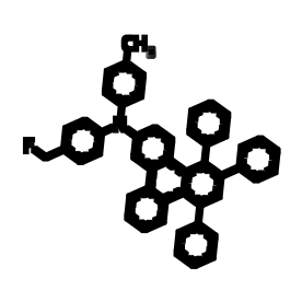 Cc1ccc(N(c2ccc(CF)cc2)c2ccc3c(c2)c2ccccc2c2c(-c4ccccc4)cc(-c4ccccc4)c(-c4ccccc4)c32)cc1